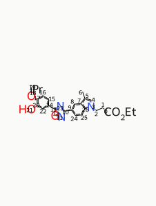 CCOC(=O)CCn1cc(C)c2cc(-c3noc(-c4ccc(OC(C)C)c(O)c4)n3)ccc21